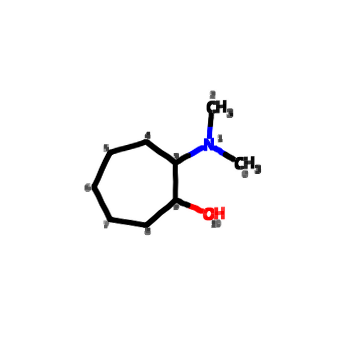 CN(C)C1CCCCCC1O